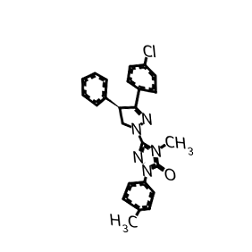 Cc1ccc(-n2nc(N3C[C@@H](c4ccccc4)C(c4ccc(Cl)cc4)=N3)n(C)c2=O)cc1